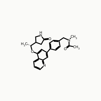 CC(=O)N(C)Cc1ccc(-c2cc(O[C@H](C)C3CNC(=O)C3)c3cccnc3c2)cc1